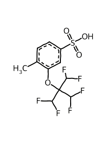 Cc1ccc(S(=O)(=O)O)cc1OC(C(F)F)(C(F)F)C(F)F